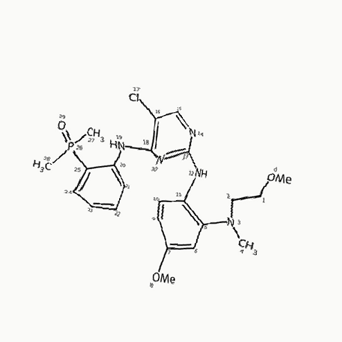 COCCN(C)c1cc(OC)ccc1Nc1ncc(Cl)c(Nc2ccccc2P(C)(C)=O)n1